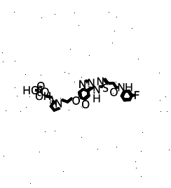 COc1cc2c(Nc3ncc(CC(=O)Nc4cccc(F)c4)s3)ncnc2cc1OCCCN1CCC[C@H]1CCOP(=O)(O)O